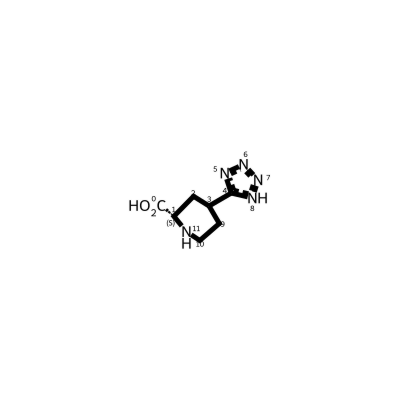 O=C(O)[C@@H]1CC(c2nnn[nH]2)CCN1